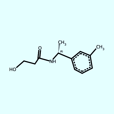 Cc1cccc([C@@H](C)NC(=O)CCO)c1